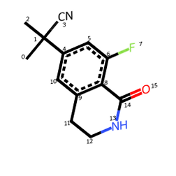 CC(C)(C#N)c1cc(F)c2c(c1)CCNC2=O